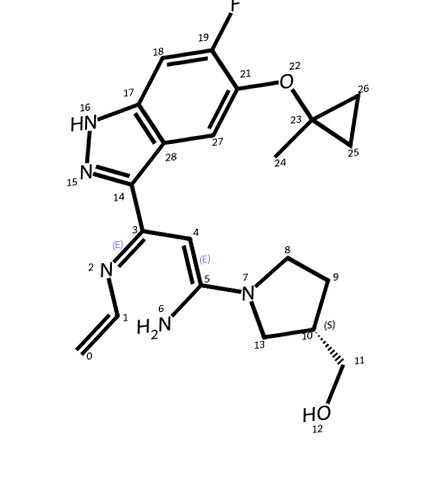 C=C/N=C(\C=C(/N)N1CC[C@H](CO)C1)c1n[nH]c2cc(F)c(OC3(C)CC3)cc12